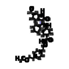 COCCN1CCN(CCONC(=O)c2ccc(N/C(=C3\C(=O)Nc4cc(C=O)ccc43)c3ccccc3)cc2)CC1